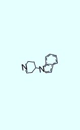 C1=NCCC(n2ccc3ccccc32)C1